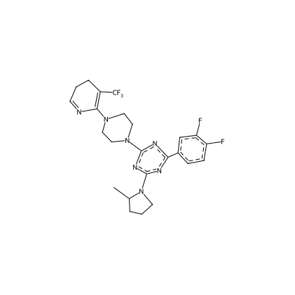 CC1CCCN1c1nc(-c2ccc(F)c(F)c2)nc(N2CCN(C3=C(C(F)(F)F)CCC=N3)CC2)n1